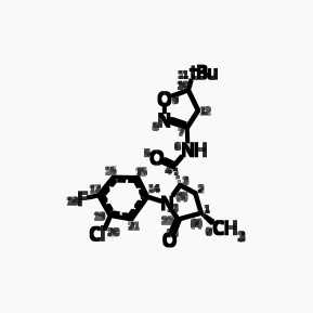 C[C@@H]1C[C@@H](C(=O)NC2=NOC(C(C)(C)C)C2)N(c2ccc(F)c(Cl)c2)C1=O